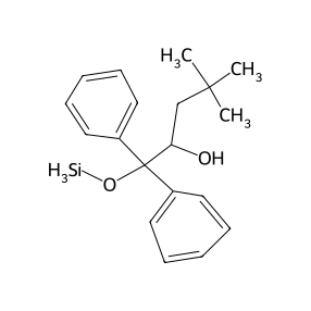 CC(C)(C)CC(O)C(O[SiH3])(c1ccccc1)c1ccccc1